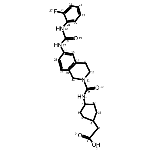 O=C(O)CC1CCC(NC(=O)N2CCc3cc(NC(=O)Nc4ccccc4F)ccc3C2)CC1